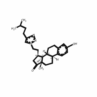 CC(C)CCc1cn(CC[C@@H]2CC(=O)[C@@]3(C)CC[C@@H]4c5ccc(O)cc5CC[C@H]4[C@H]23)nn1